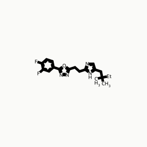 CCC(C)(C)Cc1cnc(CCc2nnc(-c3ccc(F)c(F)c3)o2)[nH]1